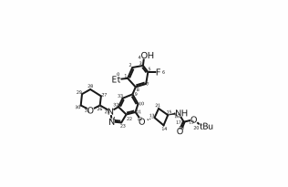 CCc1cc(O)c(F)cc1-c1cc(O[C@H]2C[C@H](NC(=O)OC(C)(C)C)C2)c2cnn(C3CCCCO3)c2c1